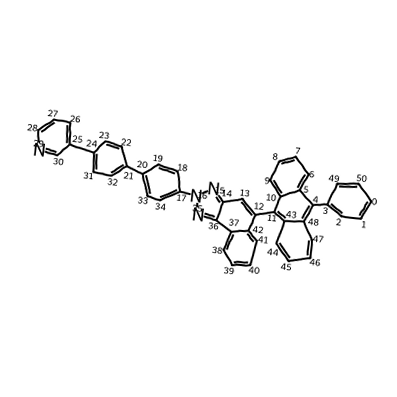 c1ccc(-c2c3ccccc3c(-c3cc4nn(-c5ccc(-c6ccc(-c7cccnc7)cc6)cc5)nc4c4ccccc34)c3ccccc23)cc1